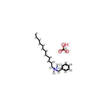 CCCCCCCCCCCC[N+](C)(C)Cc1ccccc1.O=C([O-])O